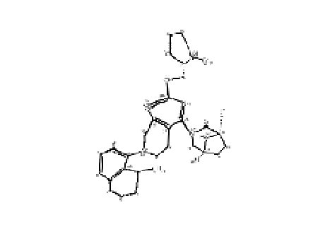 CC1CCCc2cccc(N3CCc4c(nc(OC[C@@H]5CCCN5C)nc4N4C[C@H]5CC[C@@H](C4)N5)C3)c21